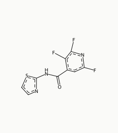 O=C(Nc1nccs1)c1cc(F)nc(F)c1F